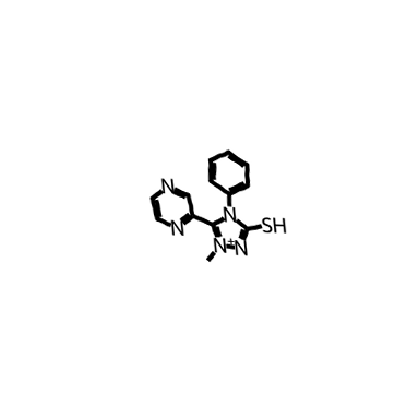 C[n+]1nc(S)n(-c2ccccc2)c1-c1cnccn1